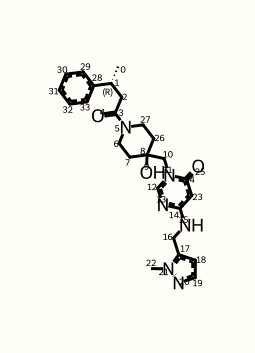 C[C@H](CC(=O)N1CCC(O)(Cn2cnc(NCc3ccnn3C)cc2=O)CC1)c1ccccc1